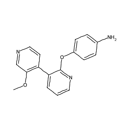 COc1cnccc1-c1cccnc1Oc1ccc(N)cc1